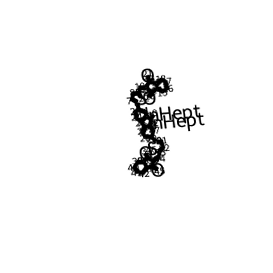 CCCCCCCC1(CCCCCCC)c2cc(-c3ccc(C=C4C(=O)c5ccccc5C4=O)s3)ccc2-c2ccc(-c3ccc(C=C4C(=O)c5ccccc5C4=O)s3)cc21